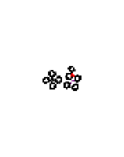 c1ccc(Oc2ccccc2[P+](c2ccccc2)(c2ccccc2)c2ccccc2)cc1.c1ccc([B-](c2ccccc2)(c2ccccc2)c2ccccc2)cc1